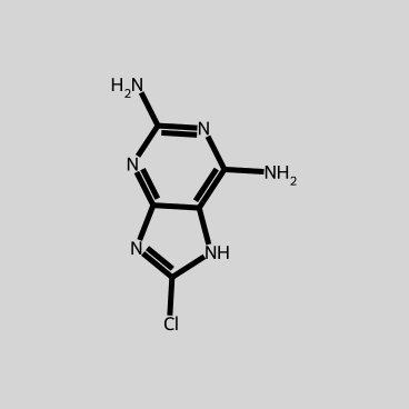 Nc1nc(N)c2[nH]c(Cl)nc2n1